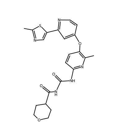 Cc1ncc(-c2cc(Oc3ccc(NC(=O)NC(=O)C4CCOCC4)nc3C)ccn2)s1